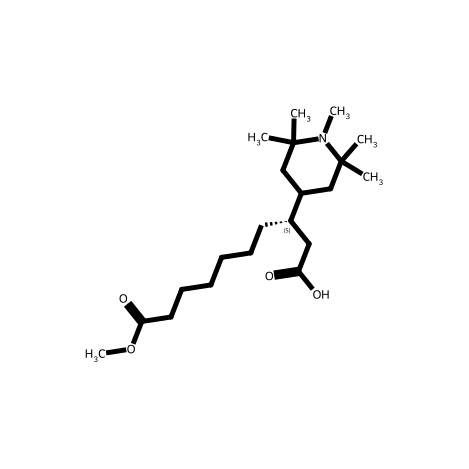 COC(=O)CCCCCC[C@@H](CC(=O)O)C1CC(C)(C)N(C)C(C)(C)C1